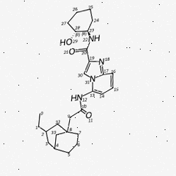 CCC1CC2CCCC(CC(=O)Nc3cccc4nc(C(=O)N[C@@H]5CCCC[C@H]5O)cn34)(C1)C2